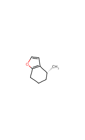 C[C@@H]1CCCc2occc21